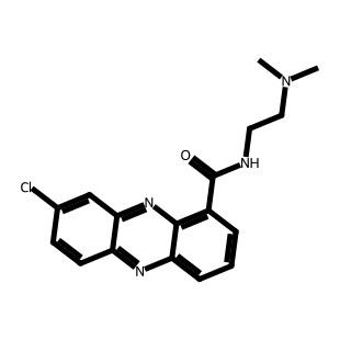 CN(C)CCNC(=O)c1cccc2nc3ccc(Cl)cc3nc12